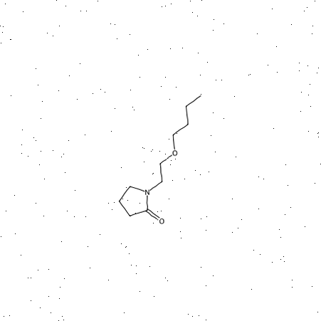 CCCCOCCN1CCCC1=O